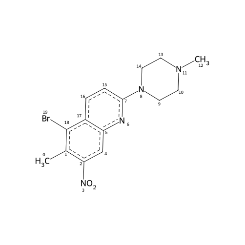 Cc1c([N+](=O)[O-])cc2nc(N3CCN(C)CC3)ccc2c1Br